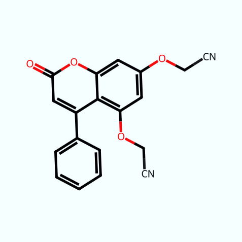 N#CCOc1cc(OCC#N)c2c(-c3ccccc3)cc(=O)oc2c1